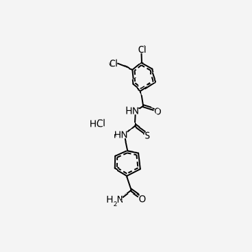 Cl.NC(=O)c1ccc(NC(=S)NC(=O)c2ccc(Cl)c(Cl)c2)cc1